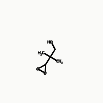 CC(C)(CO)C1OO1